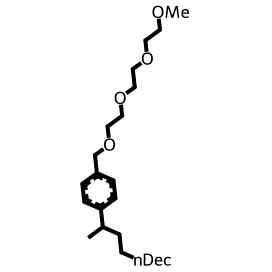 CCCCCCCCCCCCC(C)c1ccc(COCCOCCOCCOC)cc1